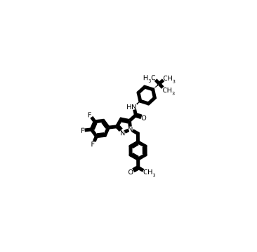 CC(=O)c1ccc(Cn2nc(-c3cc(F)c(F)c(F)c3)cc2C(=O)N[C@H]2CC[C@@H](C(C)(C)C)CC2)cc1